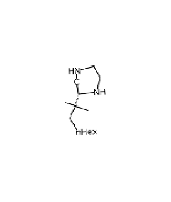 CCCCCCCC(C)(C)[C@@H]1CNCCN1